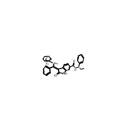 CC[C@@H](NC(=O)c1ccc2c(c1)NC(=O)C2=C(N[C@@H]1CN2CCC1CC2)c1ccccc1)c1ccccc1